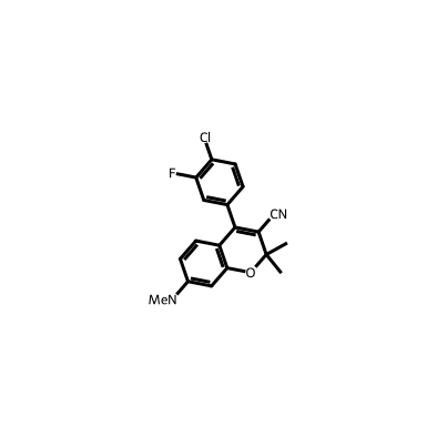 CNc1ccc2c(c1)OC(C)(C)C(C#N)=C2c1ccc(Cl)c(F)c1